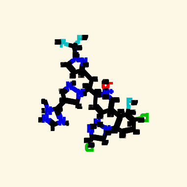 Cn1ncnc1-c1cnn(C(Cc2ccn(C(F)F)n2)c2ccc(-c3c(-n4cc(Cl)nn4)ccc(Cl)c3F)c[n+]2[O-])c1